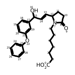 O=C(O)CCCCCCN1C(=O)CCC1C=CC(O)c1cccc(Oc2ccccc2)c1